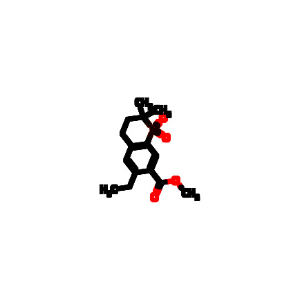 CCc1cc2c(cc1C(=O)OC)S(=O)(=O)C(C)(C)CC2